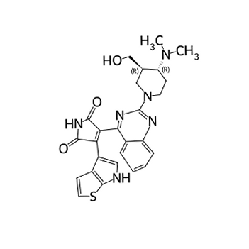 CN(C)[C@@H]1CCN(c2nc(C3=C(c4c[nH]c5sccc45)C(=O)NC3=O)c3ccccc3n2)C[C@H]1CO